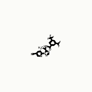 CC(NC(=O)c1cc(C(F)F)cc(C(F)(F)F)c1)c1ncnn1-c1ccc(C#N)cn1